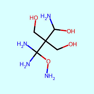 NOC(N)(N)C(CO)(CO)C(N)O